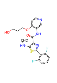 O=CNc1sc(-c2c(F)cccc2F)nc1C(=O)Nc1cnccc1OCCCO